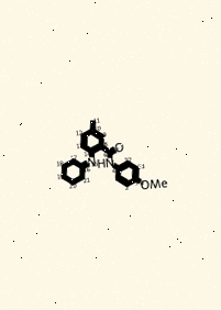 COc1ccc(NC(=O)c2cc(C)ccc2N=C2CCCCC2)cc1